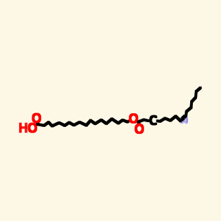 CCCCCC/C=C\CCCCCCCC(=O)OCCCCCCCCCCCCCCCCCC(=O)O